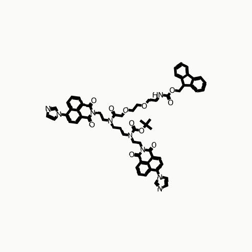 CC(C)(C)OC(=O)N(CCCN(CCN1C(=O)c2cccc3c(-n4ccnc4)ccc(c23)C1=O)C(=O)COCCOCCNC(=O)OCC1c2ccccc2-c2ccccc21)CCN1C(=O)c2cccc3c(-n4ccnc4)ccc(c23)C1=O